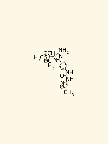 Cc1cc(NC(=O)Nc2ccc(-c3nc(N)cc(C(C)(C)S(C)(=O)=O)n3)cc2)no1